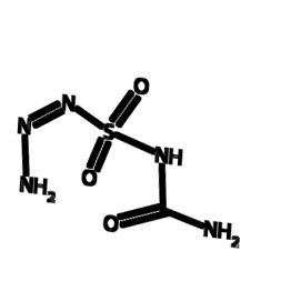 N/N=N\S(=O)(=O)NC(N)=O